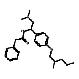 CCCC(C)COc1ccc(C(CN(C)C)NC(=O)Cc2ccccc2)cc1